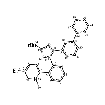 CCC1=CC=C(c2ccccc2-n2cc(C(C)(C)C)cc2-c2cccc(-c3ccccc3)c2)N(C)C1